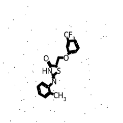 Cc1ccccc1N=C1NC(=O)C(COc2cccc(C(F)(F)F)c2)S1